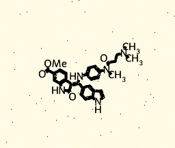 COC(=O)c1ccc2c(c1)NC(=O)C2=C(Nc1ccc(N(C)C(=O)CCN(C)C)cc1)c1ccc2[nH]ccc2c1